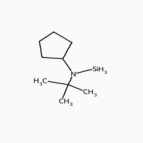 CC(C)(C)N([SiH3])C1CCCC1